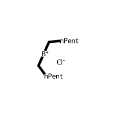 CCCCCC[B+]CCCCCC.[Cl-]